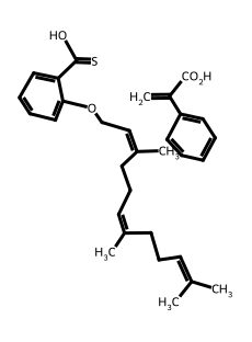 C=C(C(=O)O)c1ccccc1.CC(C)=CCCC(C)=CCCC(C)=CCOc1ccccc1C(O)=S